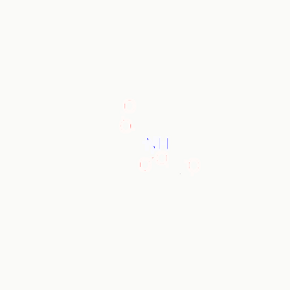 CCC(C)C(=O)OCCNC(=O)OCC1(CC)COC1